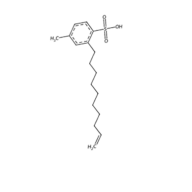 C=CCCCCCCCCc1cc(C)ccc1S(=O)(=O)O